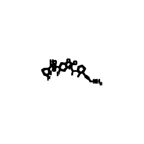 Cc1c(C#CCN)cccc1[C@@H](C)n1c(=O)oc2cc(S(=O)(=O)Nc3cccc(F)n3)c(F)cc21